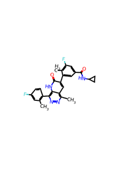 Cc1cc(F)ccc1-c1nnc(C)c2cc(-c3cc(C(=O)NC4CC4)cc(F)c3C)c(=O)[nH]c12